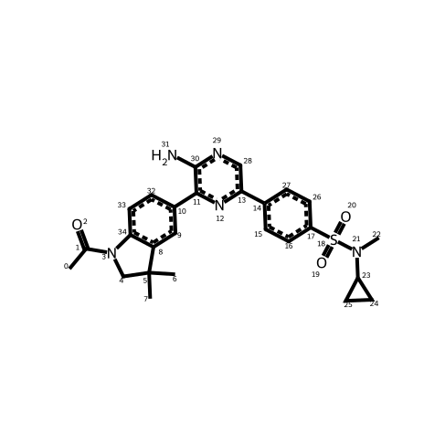 CC(=O)N1CC(C)(C)c2cc(-c3nc(-c4ccc(S(=O)(=O)N(C)C5CC5)cc4)cnc3N)ccc21